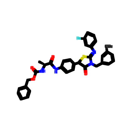 COc1cccc(CN2C(=O)C(c3ccc(NC(=O)[C@H](C)NC(=O)OCc4ccccc4)cc3)S/C2=N\c2cccc(F)c2)c1